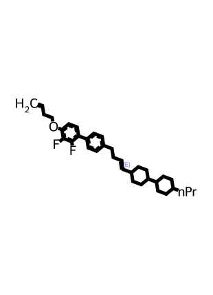 C=CCCOc1ccc(-c2ccc(CC/C=C/C3CCC(C4CCC(CCC)CC4)CC3)cc2)c(F)c1F